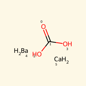 O=C(O)O.[BaH2].[CaH2]